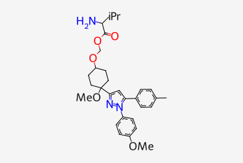 COc1ccc(-n2nc(C3(OC)CCC(OCOC(=O)C(N)C(C)C)CC3)cc2-c2ccc(C)cc2)cc1